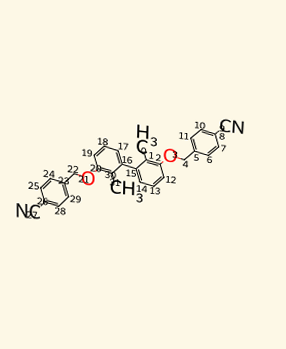 Cc1c(OCc2ccc(C#N)cc2)cccc1-c1cccc(OCc2ccc(C#N)cc2)c1C